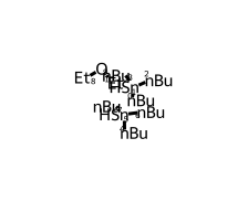 CCC[CH2][SnH]([CH2]CCC)[CH2]CCC.CCC[CH2][SnH]([CH2]CCC)[CH2]CCC.CCOCC